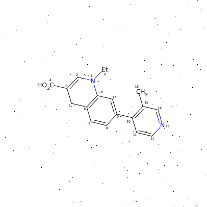 CCN1C=C(C(=O)O)Cc2ccc(-c3ccncc3C)cc21